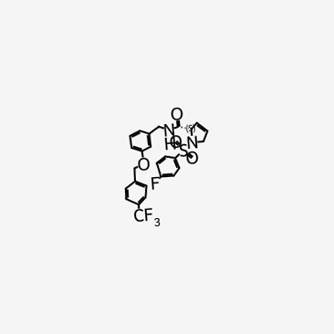 O=C(NCc1cccc(OCc2ccc(C(F)(F)F)cc2)c1)[C@@H]1C=CCN1S(=O)(=O)c1ccc(F)cc1